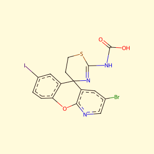 O=C(O)NC1=NC2(CCS1)c1cc(I)ccc1Oc1ncc(Br)cc12